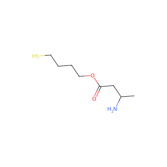 CC(N)CC(=O)OCCCCS